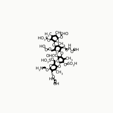 CC1C(SONOO)[C@@H](O[C@@H]2C(OC=O)O[C@@H](O[C@@H]3C(COS(=O)(=O)O)O[C@@H](OCN)C(SONOO)[C@H]3C)[C@@H](OS(=O)(=O)O)C2C)OC(COOO)[C@H]1O[C@@H]1O[C@@H](OC=O)[C@@H](C)C(C)C1OS(=O)(=O)O